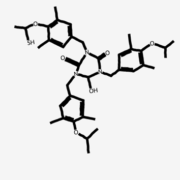 Cc1cc(CN2C(=O)N(Cc3cc(C)c(OC(C)S)c(C)c3)C(=O)N(Cc3cc(C)c(OC(C)C)c(C)c3)C2O)cc(C)c1OC(C)C